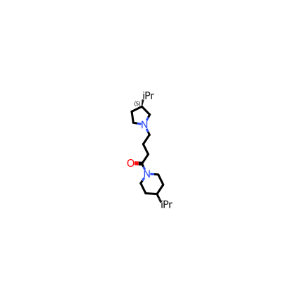 CC(C)C1CCN(C(=O)CCCN2CC[C@@H](C(C)C)C2)CC1